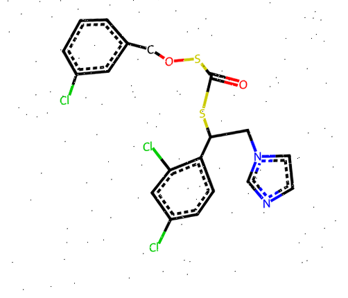 O=C(SOCc1cccc(Cl)c1)SC(Cn1ccnc1)c1ccc(Cl)cc1Cl